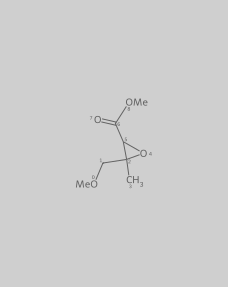 COCC1(C)OC1C(=O)OC